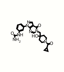 NC(=O)Nc1cccc(-n2ncc3c(=O)n(CC4(O)CCN(C(=O)C5CC5)CC4)cnc32)c1